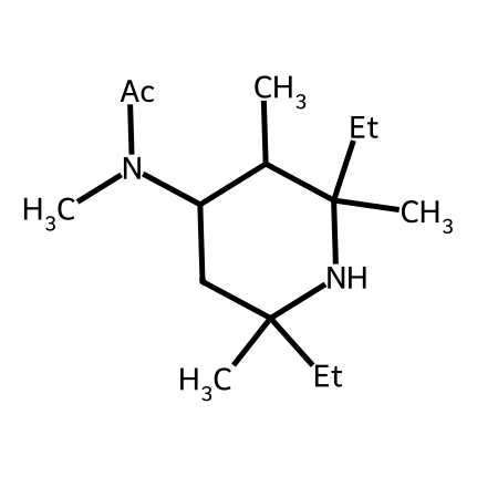 CCC1(C)CC(N(C)C(C)=O)C(C)C(C)(CC)N1